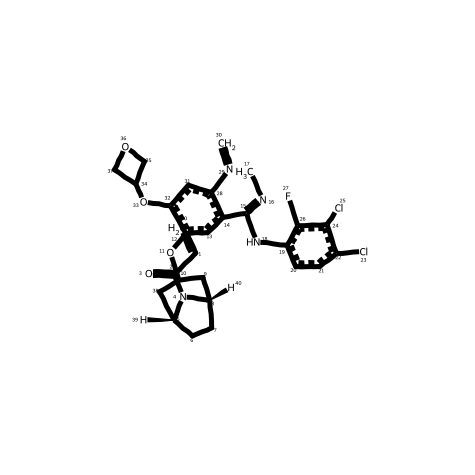 C=CC(=O)N1[C@@H]2CC[C@H]1CC(Oc1cc(/C(=N\C)Nc3ccc(Cl)c(Cl)c3F)c(N=C)cc1OC1COC1)C2